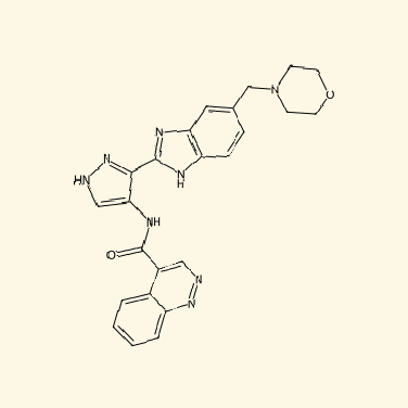 O=C(Nc1c[nH]nc1-c1nc2cc(CN3CCOCC3)ccc2[nH]1)c1cnnc2ccccc12